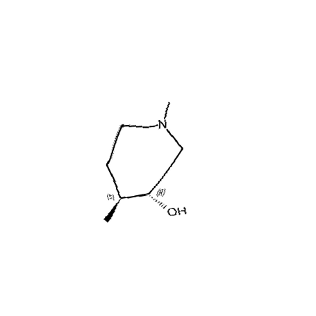 C[C@H]1CCN(C)C[C@@H]1O